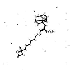 CC1(CCCCCCOC=C(CC23CC4CC(CC(C4)C2)C3)C(=O)O)CCO1